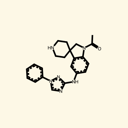 CC(=O)N1CC2(CCNCC2)c2cc(Nc3ncn(-c4ccccc4)n3)ccc21